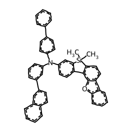 C[Si]1(C)c2cc(N(c3ccc(-c4ccccc4)cc3)c3cccc(-c4ccc5ccccc5c4)c3)ccc2-c2c1ccc1c2oc2ccccc21